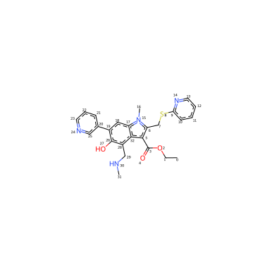 CCOC(=O)c1c(CSc2ccccn2)n(C)c2cc(-c3cccnc3)c(O)c(CNC)c12